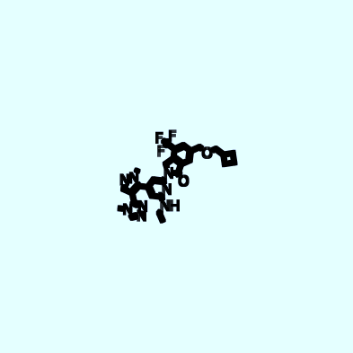 CCNc1cc(-c2c(-c3nncn3C)cnn2C)cc(N2Cc3c(cc(COCC4CCC4)cc3C(F)(F)F)C2=O)n1